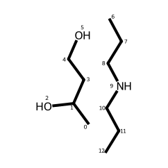 CC(O)CCO.CCCNCCC